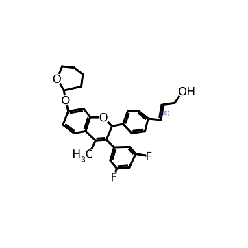 CC1=C(c2cc(F)cc(F)c2)C(c2ccc(/C=C/CO)cc2)Oc2cc(OC3CCCCO3)ccc21